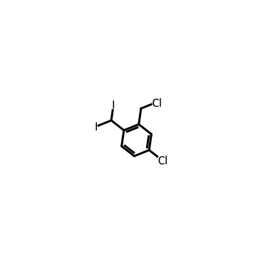 ClCc1cc(Cl)ccc1C(I)I